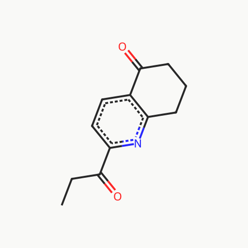 CCC(=O)c1ccc2c(n1)CCCC2=O